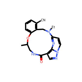 CCN1Cc2c(C#N)cccc2OC(C)CNC(=O)c2cnn3ccc1nc23